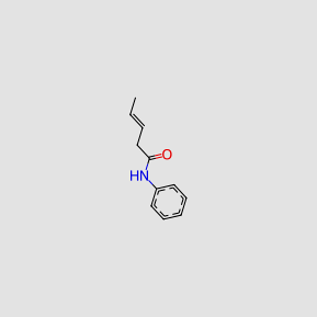 CC=CCC(=O)Nc1ccccc1